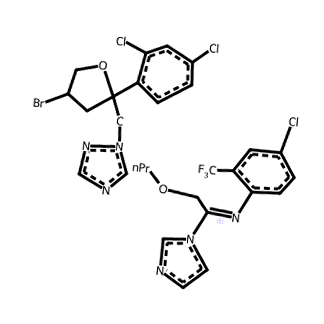 CCCOC/C(=N\c1ccc(Cl)cc1C(F)(F)F)n1ccnc1.Clc1ccc(C2(Cn3cncn3)CC(Br)CO2)c(Cl)c1